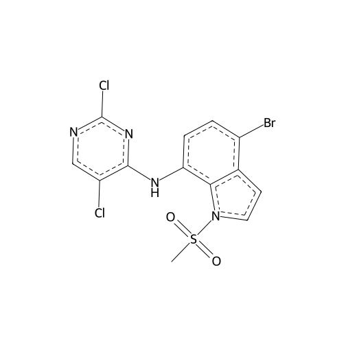 CS(=O)(=O)n1ccc2c(Br)ccc(Nc3nc(Cl)ncc3Cl)c21